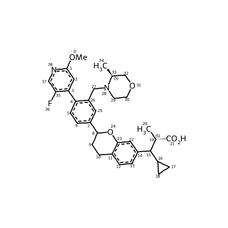 COc1cc(-c2ccc(C3CCc4ccc(C(C5CC5)[C@H](C)C(=O)O)cc4O3)cc2CN2CCOC[C@@H]2C)c(F)cn1